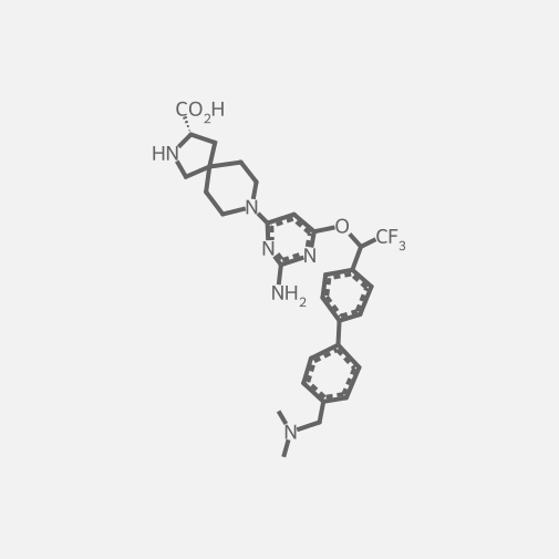 CN(C)Cc1ccc(-c2ccc(C(Oc3cc(N4CCC5(CC4)CN[C@H](C(=O)O)C5)nc(N)n3)C(F)(F)F)cc2)cc1